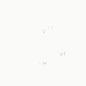 CC1CCCC2(C(=O)N(C)c3ccccc32)C1CCN